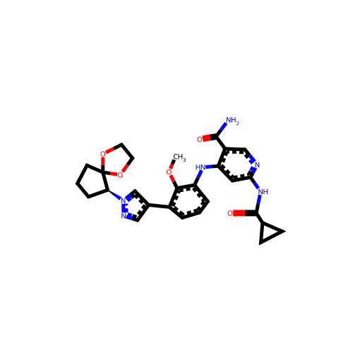 COc1c(Nc2cc(NC(=O)C3CC3)ncc2C(N)=O)cccc1-c1cnn([C@H]2CCCC23OCCO3)c1